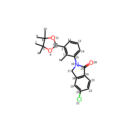 Cc1c(B2OC(C)(C)C(C)(C)O2)cccc1N1Cc2cc(Cl)ccc2C1=O